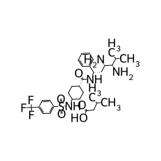 CC(C)CC(=O)O.CC(C)[C@H](N)[C@@H](N)C[C@H](NC(=O)[C@H]1CC[C@H](NS(=O)(=O)c2ccc(C(F)(F)F)cc2)CC1)c1ccccc1